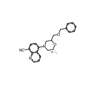 C[C@@H]1CN(c2ccc(C#N)c3ncccc23)CC(COCc2ccccc2)O1